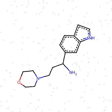 NC(CCN1CCOCC1)c1ccc2[c]c[nH]c2c1